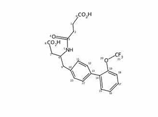 O=C(O)CCC(=O)NC(CC(=O)O)Cc1ccc(-c2ccccc2OC(F)(F)F)cc1